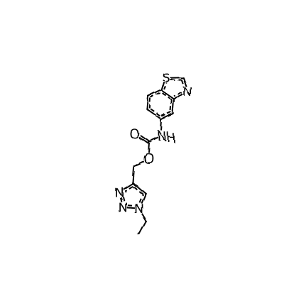 CCn1cc(COC(=O)Nc2ccc3scnc3c2)nn1